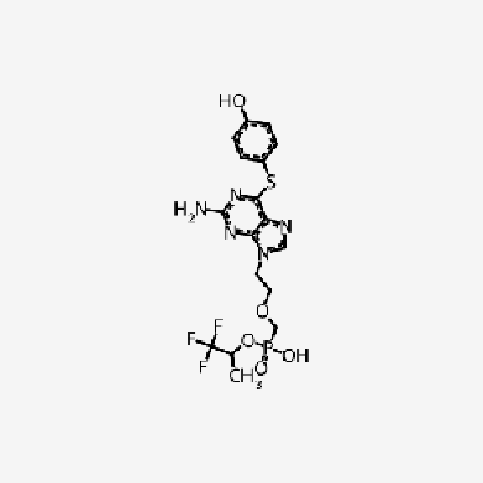 CC(OP(=O)(O)COCCn1cnc2c(Sc3ccc(O)cc3)nc(N)nc21)C(F)(F)F